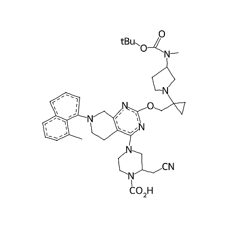 Cc1cccc2cccc(N3CCc4c(nc(OCC5(N6CCC(N(C)C(=O)OC(C)(C)C)C6)CC5)nc4N4CCN(C(=O)O)C(CC#N)C4)C3)c12